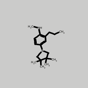 CCCc1cc(B2CC(C)(C)C(C)(C)C2)ccc1NC